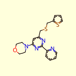 c1ccc(-c2nc(CSCc3cccs3)cc(N3CCOCC3)n2)nc1